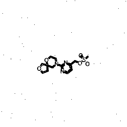 CS(=O)(=O)OCc1ccnc(N2CCOC3(CCOC3)C2)n1